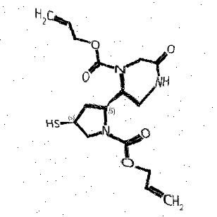 C=CCOC(=O)N1CC(=O)NCC1[C@@H]1C[C@H](S)CN1C(=O)OCC=C